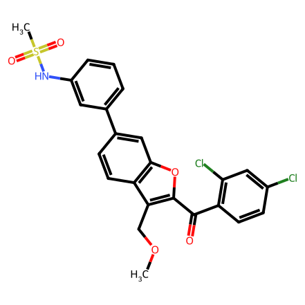 COCc1c(C(=O)c2ccc(Cl)cc2Cl)oc2cc(-c3cccc(NS(C)(=O)=O)c3)ccc12